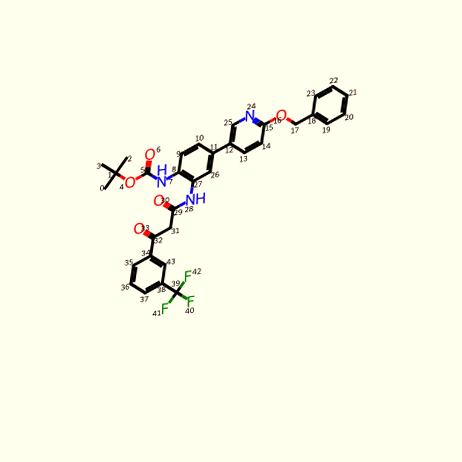 CC(C)(C)OC(=O)Nc1ccc(-c2ccc(OCc3ccccc3)nc2)cc1NC(=O)CC(=O)c1cccc(C(F)(F)F)c1